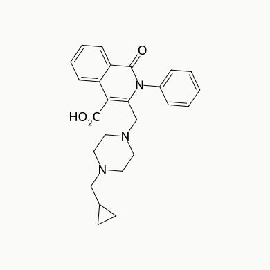 O=C(O)c1c(CN2CCN(CC3CC3)CC2)n(-c2ccccc2)c(=O)c2ccccc12